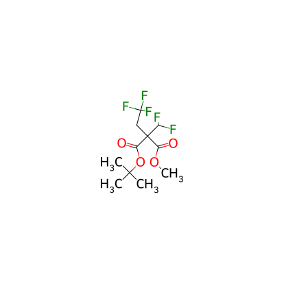 COC(=O)C(CC(F)(F)F)(C(=O)OC(C)(C)C)C(F)F